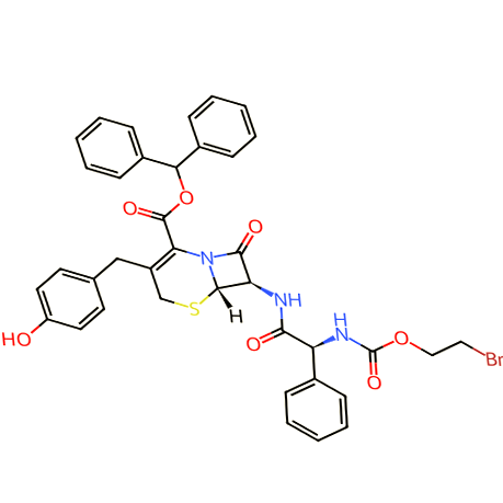 O=C(N[C@H](C(=O)N[C@@H]1C(=O)N2C(C(=O)OC(c3ccccc3)c3ccccc3)=C(Cc3ccc(O)cc3)CS[C@@H]12)c1ccccc1)OCCBr